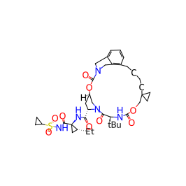 CC[C@@H]1C[C@]1(NC(=O)[C@@H]1C[C@@H]2CN1C(=O)[C@H](C(C)(C)C)NC(=O)OCC1(CCCCc3cccc4c3CN(C4)C(=O)O2)CC1)C(=O)NS(=O)(=O)C1CC1